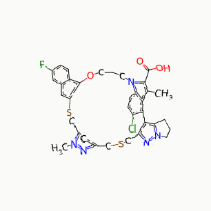 Cc1c(C(=O)O)n2c3ccc(Cl)c(c13)-c1c(nn3c1CCC3)CSCc1cc(n(C)n1)CSc1cc(c3ccc(F)cc3c1)OCCC2